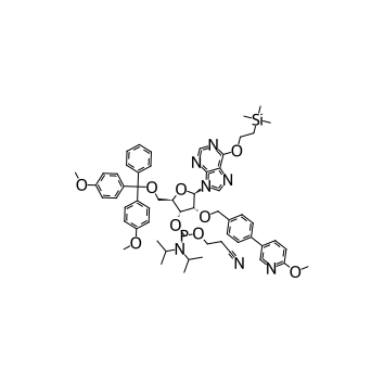 COc1ccc(C(OC[C@H]2O[C@@H](n3cnc4c(OCC[Si](C)(C)C)ncnc43)[C@H](OCc3ccc(-c4ccc(OC)nc4)cc3)[C@@H]2OP(OCCC#N)N(C(C)C)C(C)C)(c2ccccc2)c2ccc(OC)cc2)cc1